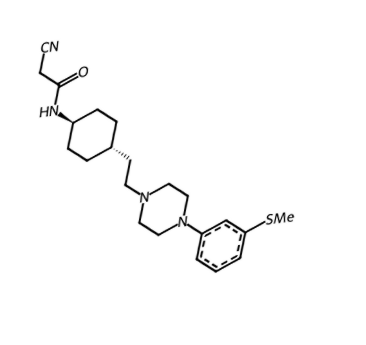 CSc1cccc(N2CCN(CC[C@H]3CC[C@H](NC(=O)CC#N)CC3)CC2)c1